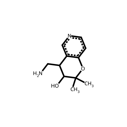 CC1(C)Oc2ccncc2C(CN)C1O